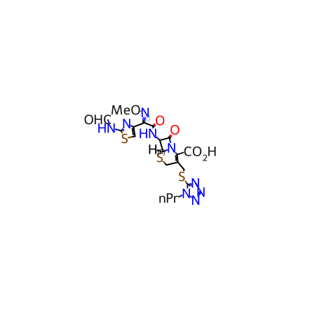 CCCn1nnnc1SCC1=C(C(=O)O)N2C(=O)C(NC(=O)/C(=N/OC)c3csc(NC=O)n3)[C@H]2SC1